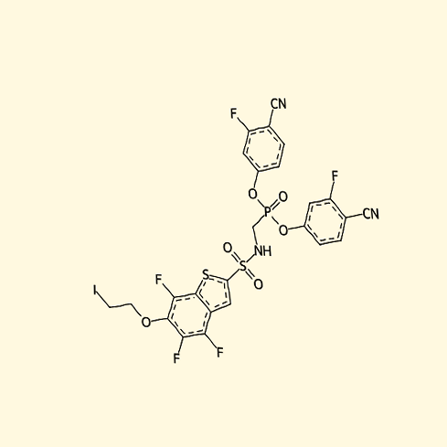 N#Cc1ccc(OP(=O)(CNS(=O)(=O)c2cc3c(F)c(F)c(OCCI)c(F)c3s2)Oc2ccc(C#N)c(F)c2)cc1F